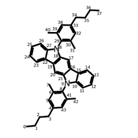 CCCCc1cc(C)c(-n2c3ccccc3c3cc4c(cc32)c2ccccc2n4-c2c(C)cc(CCCC)cc2C)c(C)c1